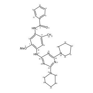 COc1cc(NC(=O)c2ccccc2)c(C)cc1Nc1nc(N2CCCCC2)nc(N2CCCCC2)n1